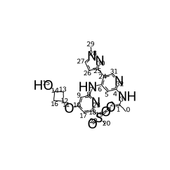 CC(=O)Nc1cc(Nc2cc(O[C@H]3C[C@@H](O)C3)cc(S(C)(=O)=O)n2)c(-c2ccn(C)n2)cn1